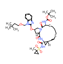 CC(C)(C)OC(=O)N[C@H]1CCCCC/C=C\[C@@H]2C[C@@]2(C(=O)NS(=O)(=O)C2(C)CC2)NC(=O)[C@@H]2C[C@@H](Oc3nc4ccccc4n3COCC[Si](C)(C)C)CN2C1=O